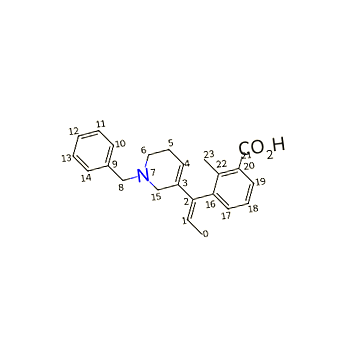 C/C=C(/C1=CCCN(Cc2ccccc2)C1)c1cccc(C(=O)O)c1C